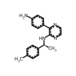 Cc1ccc([C@H](C)Nc2nccnc2-c2ccc(N)cc2)cc1